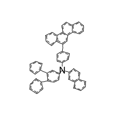 c1ccc(-c2ccc(N(c3ccc(-c4cc5c6ccccc6ccc5c5ccccc45)cc3)c3ccc4ccccc4c3)cc2-c2ccccc2)cc1